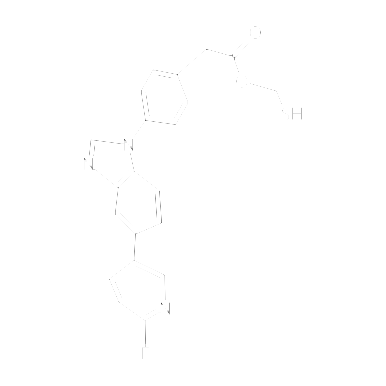 O=C(Cc1ccc(-n2cnc3cc(-c4ccc(F)nc4)ccc32)cc1)OCS